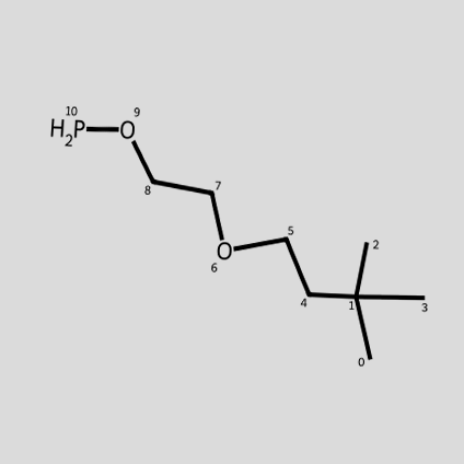 CC(C)(C)CCOCCOP